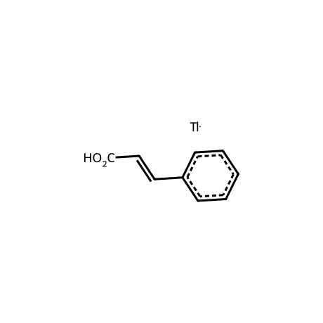 O=C(O)C=Cc1ccccc1.[Tl]